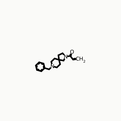 C=CC(=O)N1CCC2(CCN(Cc3ccccc3)CC2)C1